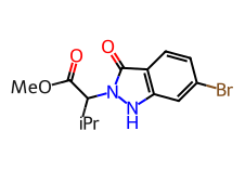 COC(=O)C(C(C)C)n1[nH]c2cc(Br)ccc2c1=O